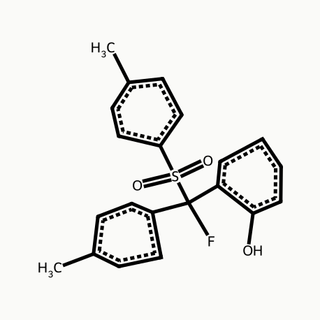 Cc1ccc(C(F)(c2ccccc2O)S(=O)(=O)c2ccc(C)cc2)cc1